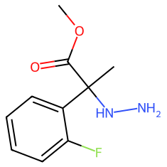 COC(=O)C(C)(NN)c1ccccc1F